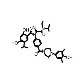 CCN(C(=O)c1nnc(-c2cc(C(C)C)c(O)cc2O)n1-c1ccc(C(=O)N2CCN(c3cc(C)c(O)c(C)c3)CC2)cc1)C(C)C